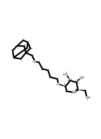 OC[C@H]1NC[C@@H](OCCCCCOCC23CC4CC(CC(C4)C2)C3)[C@@H](O)[C@H]1O